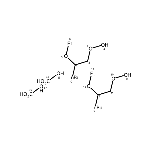 CCCCC(COO)OCC.CCCCC(COO)OCC.O=C(O)O.O=C(O)O